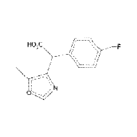 Cc1ocnc1C(C(=O)O)c1ccc(F)cc1